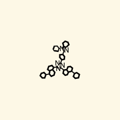 C1=CCC(n2c(-c3ccc(-c4nc(-c5cccc6c(-c7ccccc7)cccc56)nc(-c5cccc6c(-c7ccccc7)cccc56)n4)cc3)nc3ccccc32)C=C1